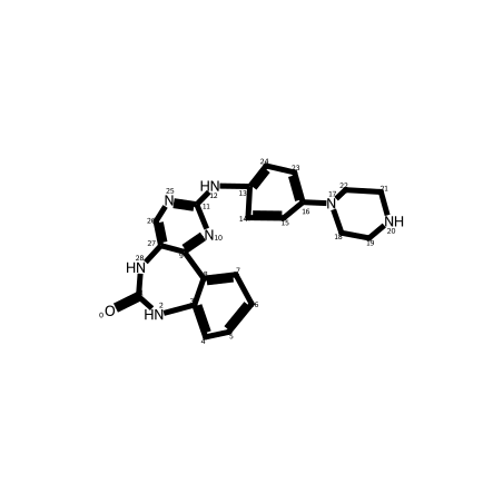 O=C1Nc2ccccc2-c2nc(Nc3ccc(N4CCNCC4)cc3)ncc2N1